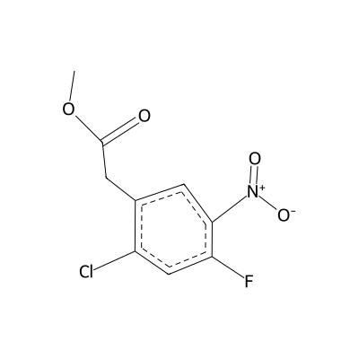 COC(=O)Cc1cc([N+](=O)[O-])c(F)cc1Cl